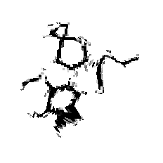 CCOC(=O)[C@H]1OC2(COC2)C[C@H]1c1ccc(F)c(F)c1OC